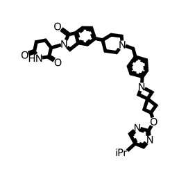 CC(C)c1cnc(OC2CC3(C2)CN(c2ccc(CN4CCC(c5ccc6c(c5)CN(C5CCC(=O)NC5=O)C6=O)CC4)cc2)C3)nc1